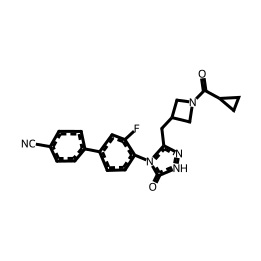 N#Cc1ccc(-c2ccc(-n3c(CC4CN(C(=O)C5CC5)C4)n[nH]c3=O)c(F)c2)cc1